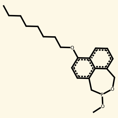 CCCCCCCCOc1ccc2c3c(cccc13)COP(OC)C2